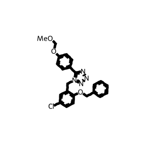 COCOc1ccc(-c2nnnn2Cc2cc(Cl)ccc2OCc2ccccc2)cc1